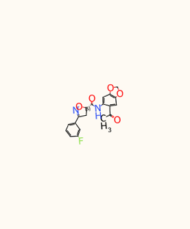 CC(=O)c1cc2c(cc1NC(=O)[C@@H]1CC(c3cccc(F)c3)=NO1)OCO2